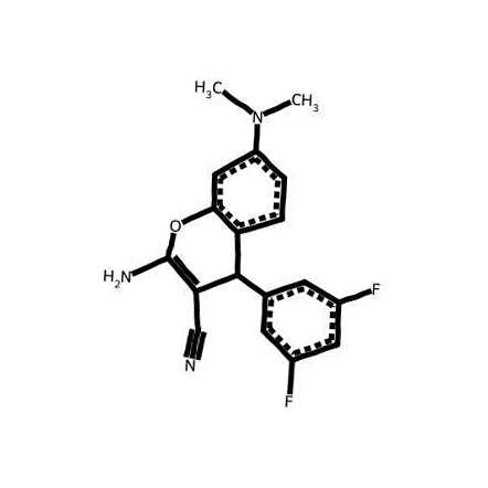 CN(C)c1ccc2c(c1)OC(N)=C(C#N)C2c1cc(F)cc(F)c1